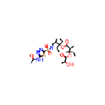 CCC(C)(OC(=O)C(C)O)C(C)C(=O)OC(CC)(CC)C(C)/C=N/S(=O)(=O)c1nnc(NC(C)=O)s1